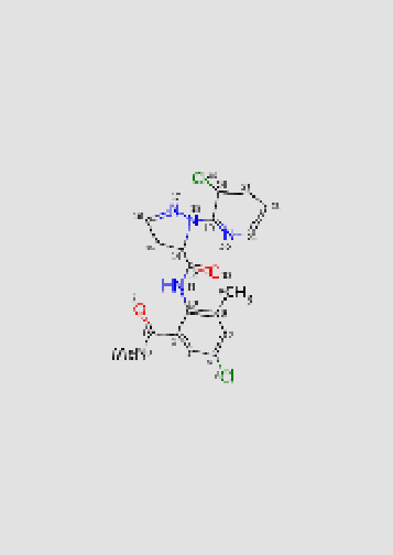 CNC(=O)c1cc(Cl)cc(C)c1NC(=O)C1C[C]=NN1c1ncccc1Cl